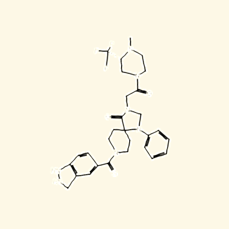 CN1CCN(C(=O)CN2CN(c3ccccc3)C3(CCN(C(=O)c4ccc5c(c4)CNN5)CC3)C2=O)C[C@@H]1C(F)(F)F